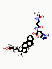 CC(=O)NCCC(=O)N[C@@H](Cc1cnc[nH]1)C(=O)O[C@H]1CC[C@@]2(C)C(=CC[C@H]3[C@@H]4CC[C@H]([C@H](C)CCCC(C)(C)O)[C@@]4(C)CC[C@@H]32)C1